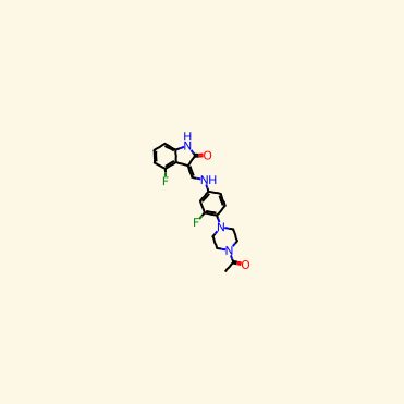 CC(=O)N1CCN(c2ccc(NC=C3C(=O)Nc4cccc(F)c43)cc2F)CC1